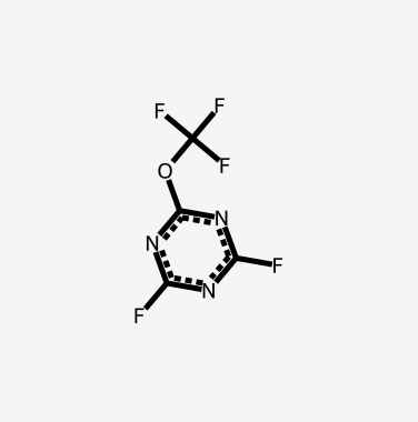 Fc1nc(F)nc(OC(F)(F)F)n1